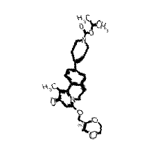 Cc1c2n(c(OC[C@@H]3COCCO3)cc1=O)CCc1cc(C3=CCN(C(=O)OC(C)C)CC3)ccc1-2